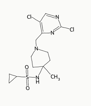 CC1(NS(=O)(=O)C2CC2)CCN(Cc2nc(Cl)ncc2Cl)CC1